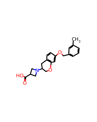 Cc1cccc(COc2ccc3c(c2)OCC(N2CC(C(=O)O)C2)C3)c1